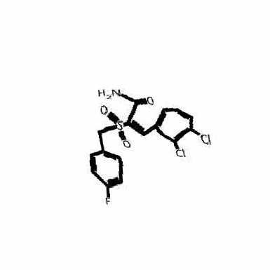 NC(=O)/C(=C\c1cccc(Cl)c1Cl)S(=O)(=O)Cc1ccc(F)cc1